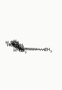 CCC=CCC=CCC=CCC=CCC=CCC=CCCC(=O)N[C@@H](C)C(=O)NC1=NC(=O)C2N[C@@H]([C@@H](O)[C@H](C)O)CNC2=N1